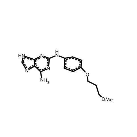 COCCCOc1ccc(Nc2nc(N)c3nc[nH]c3n2)cc1